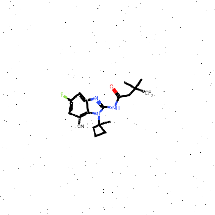 CC1(n2c(NC(=O)CC(C)(C)C(F)(F)F)nc3cc(F)cc(C#N)c32)CCC1